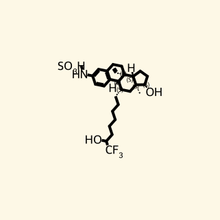 C=C[C@@]12CCc3cc(NS(=O)(=O)O)ccc3[C@H]1[C@@H](CCCCCCC(O)C(F)(F)F)C[C@@]1(C)[C@H]2CC[C@@H]1O